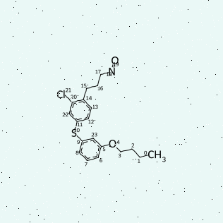 CCCCOc1cccc(Sc2ccc(CCCN=O)c(Cl)c2)c1